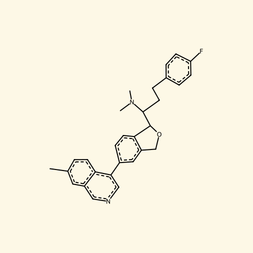 Cc1ccc2c(-c3ccc4c(c3)COC4C(CCc3ccc(F)cc3)N(C)C)cncc2c1